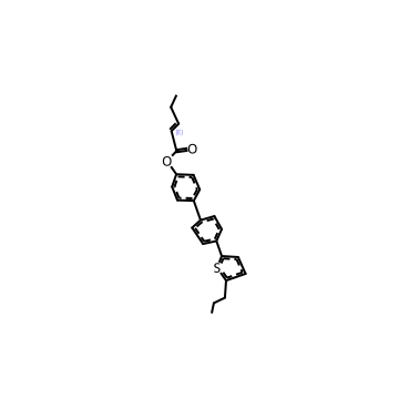 CC/C=C/C(=O)Oc1ccc(-c2ccc(-c3ccc(CCC)s3)cc2)cc1